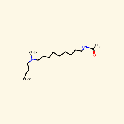 CCCCCCCCCCCCCN(CCCCCC)CCCCCCCCCNC(=O)C(F)(F)F